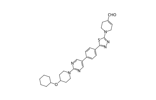 O=CC1=CCN(c2nnc(-c3ccc(-c4cnc(N5CCC(OC6CCCCC6)CC5)nc4)cc3)s2)CC1